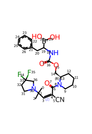 CC(C)(/C=C(/C#N)C(=O)N1CCCC[C@@H]1COC(=O)NC(Cc1ccccc1)B(O)O)N1CCC(F)(F)C1